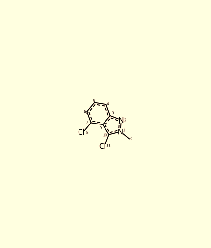 Cn1nc2cc[c]c(Cl)c2c1Cl